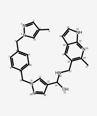 Cc1cnn(Cc2ccc(Cn3cc(C(O)NCc4cc5cc[nH]c5nc4C)cn3)cc2)c1